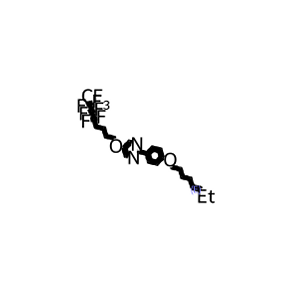 CC/C=C/CCCCOc1ccc(-c2ncc(OCCCCC(F)(F)C(F)(F)C(F)(F)C(F)(F)F)cn2)cc1